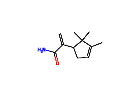 C=C(C(N)=O)C1CC=C(C)C1(C)C